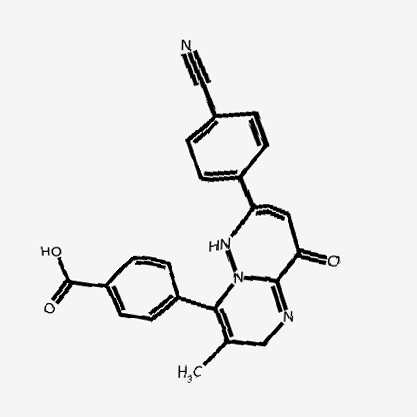 CC1=C(c2ccc(C(=O)O)cc2)N2NC(c3ccc(C#N)cc3)=CC(=O)C2=NC1